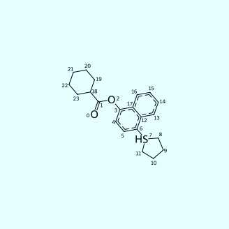 O=C(Oc1ccc([SH]2CCCC2)c2ccccc12)C1CCCCC1